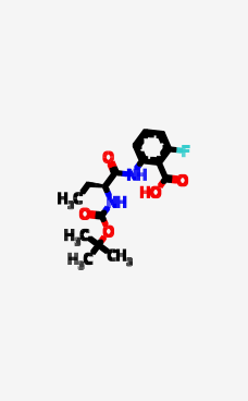 CC[C@H](NC(=O)OC(C)(C)C)C(=O)Nc1cccc(F)c1C(=O)O